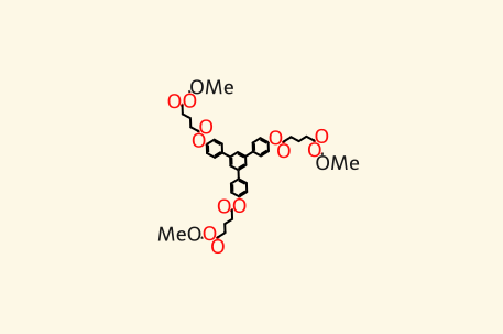 COCOC(=O)CCCC(=O)Oc1ccc(-c2cc(-c3ccc(OC(=O)CCCC(=O)OCOC)cc3)cc(-c3ccc(OC(=O)CCCC(=O)OCOC)cc3)c2)cc1